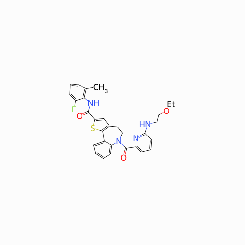 CCOCCNc1cccc(C(=O)N2CCc3cc(C(=O)Nc4c(C)cccc4F)sc3-c3ccccc32)n1